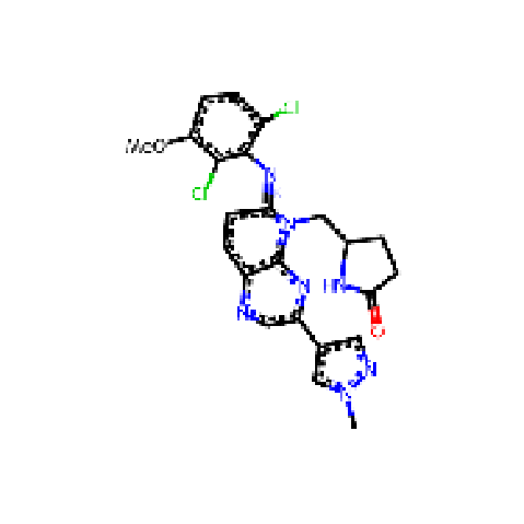 COc1ccc(Cl)c(/N=c2\ccc3ncc(-c4cnn(C)c4)nc3n2CC2CCC(=O)N2)c1Cl